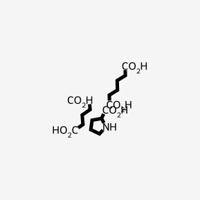 O=C(O)C1CCCN1.O=C(O)CCCC(=O)O.O=C(O)CCCCC(=O)O